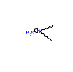 CCCCCCCC(CCCCCCC)N1CCC(N)C1